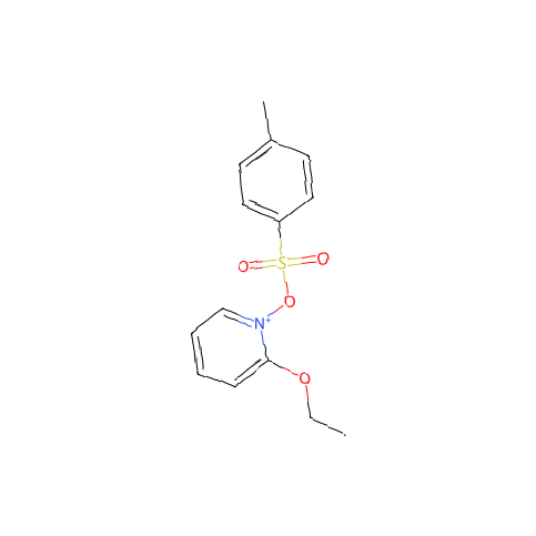 CCOc1cccc[n+]1OS(=O)(=O)c1ccc(C)cc1